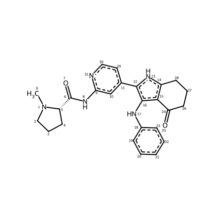 CN1CCC[C@H]1C(=O)Nc1cc(-c2[nH]c3c(c2Nc2ccccc2)C(=O)CCC3)ccn1